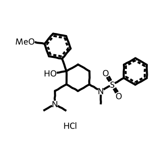 COc1cccc(C2(O)CCC(N(C)S(=O)(=O)c3ccccc3)CC2CN(C)C)c1.Cl